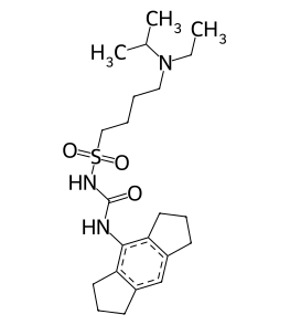 CCN(CCCCS(=O)(=O)NC(=O)Nc1c2c(cc3c1CCC3)CCC2)C(C)C